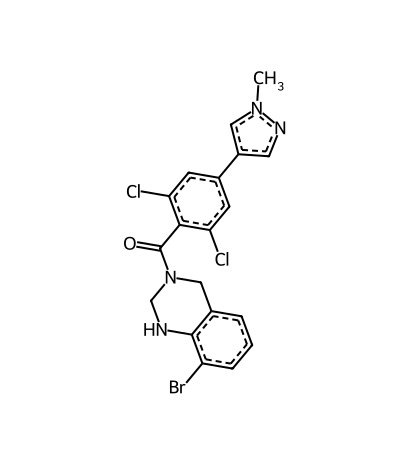 Cn1cc(-c2cc(Cl)c(C(=O)N3CNc4c(Br)cccc4C3)c(Cl)c2)cn1